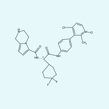 Cc1c(-c2ccc(NC(=O)[C@@H](NC(=O)c3ccc4n3CCNC4)C3CCC(F)(F)CC3)cc2)c(Cl)cc[n+]1[O-]